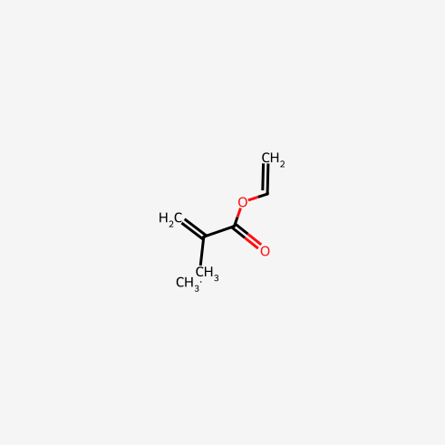 C=COC(=O)C(=C)C.[CH3]